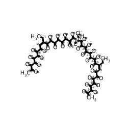 CC/C(=C/C(=O)C(=O)C(=O)C(=O)C(=O)C(=O)C(C)=O)C(=O)C(=O)C(=O)C(=O)C(=O)C(=O)C(=O)C(=O)[N+](C)(C)C(=O)C(=O)C(=O)C(=O)C(=O)C(=O)C(=O)C(=O)/C(=C\C(=O)C(=O)C(=O)C(=O)C(=O)C(=O)C(C)=O)CC.[Cl-]